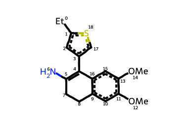 CCc1cc(C2=C(N)CCc3cc(OC)c(OC)cc32)cs1